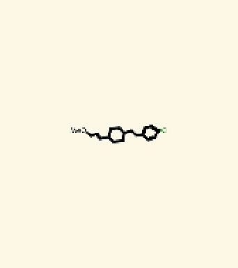 COCC=CC1CCC(CCc2ccc(Cl)cc2)CC1